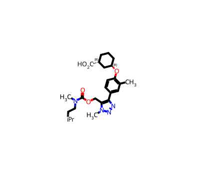 Cc1cc(-c2nnn(C)c2COC(=O)N(C)CCC(C)C)ccc1O[C@@H]1CCC[C@@H](C(=O)O)C1